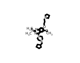 COc1cc2c(N3CCN(CC4CCCC4)CC3)nc(N(C)C)nc2cc1OCCCN1CCCC1